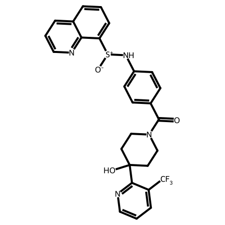 O=C(c1ccc(N[S+]([O-])c2cccc3cccnc23)cc1)N1CCC(O)(c2ncccc2C(F)(F)F)CC1